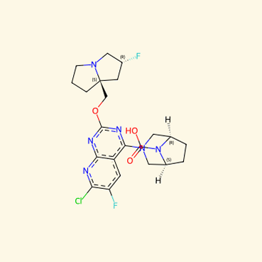 O=C(O)N1[C@@H]2CC[C@H]1CN(c1nc(OC[C@@]34CCCN3C[C@H](F)C4)nc3nc(Cl)c(F)cc13)C2